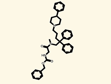 CN(CC(CCCN1CCC(c2ccccc2)CC1)(c1ccccc1)c1ccccc1)C(=O)CNC(=O)OCc1ccccc1